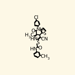 CC1=C(C(=O)Nc2ccc(Cl)cc2)C(c2cccs2)C(C#N)=C(SCC(=O)Nc2cccc(C)c2)N1